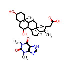 C[C@H](CCC(=O)O)[C@H]1CCC2C3C(CC[C@@]21C)[C@@]1(C)CC[C@H](O)CC1C[C@@H]3O.Cn1c(=O)c2[nH]cnc2n(C)c1=O